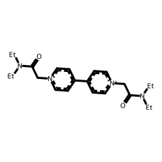 CCN(CC)C(=O)C[n+]1ccc(-c2cc[n+](CC(=O)N(CC)CC)cc2)cc1